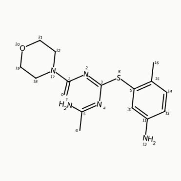 C=C(/N=C(\N=C(\C)N)Sc1cc(N)ccc1C)N1CCOCC1